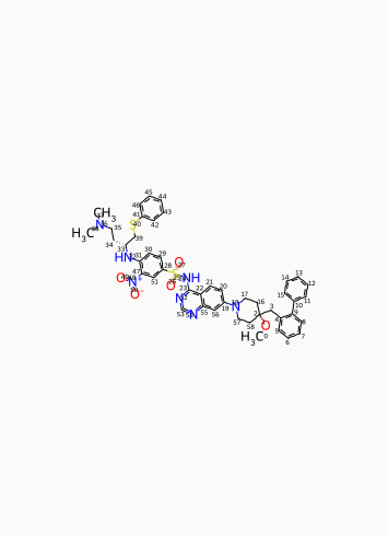 COC1(Cc2ccccc2-c2ccccc2)CCN(c2ccc3c(NS(=O)(=O)c4ccc(N[C@H](CCN(C)C)CSc5ccccc5)c([N+](=O)[O-])c4)ncnc3c2)CC1